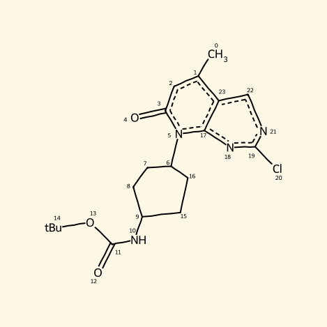 Cc1cc(=O)n(C2CCC(NC(=O)OC(C)(C)C)CC2)c2nc(Cl)ncc12